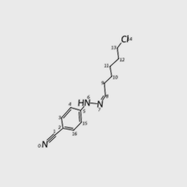 N#Cc1ccc(N/N=C\CCCCCCl)cc1